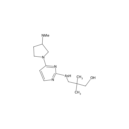 CNC1CCN(c2ccnc([AsH]CC(C)(C)CO)n2)C1